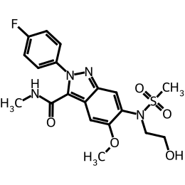 CNC(=O)c1c2cc(OC)c(N(CCO)S(C)(=O)=O)cc2nn1-c1ccc(F)cc1